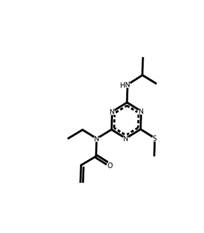 C=CC(=O)N(CC)c1nc(NC(C)C)nc(SC)n1